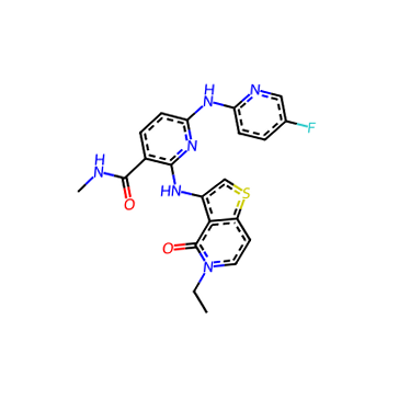 CCn1ccc2scc(Nc3nc(Nc4ccc(F)cn4)ccc3C(=O)NC)c2c1=O